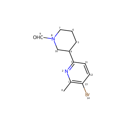 Cc1nc(C2CCCN(C=O)C2)ccc1Br